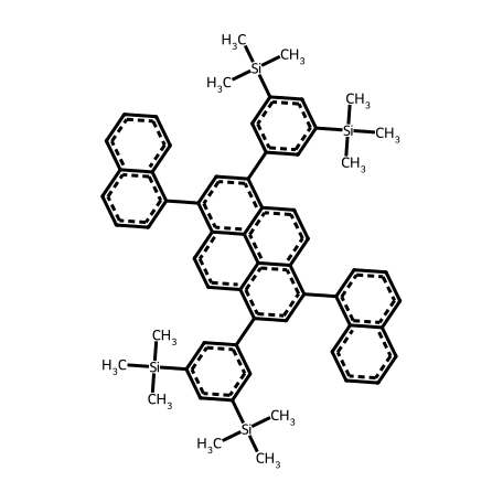 C[Si](C)(C)c1cc(-c2cc(-c3cccc4ccccc34)c3ccc4c(-c5cc([Si](C)(C)C)cc([Si](C)(C)C)c5)cc(-c5cccc6ccccc56)c5ccc2c3c45)cc([Si](C)(C)C)c1